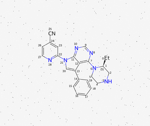 CC[C@H]1CNCCN1c1ncnc2c1c(-c1ccccc1)cn2-c1cc(C#N)ccn1